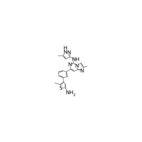 Cc1cn2c(Nc3cc(C)[nH]n3)nc(-c3cccc(-c4cc(N)sc4C)c3)cc2n1